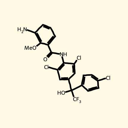 COc1c(N)cccc1C(=O)Nc1c(Cl)cc(C(O)(c2ccc(Cl)cc2)C(F)(F)F)cc1Cl